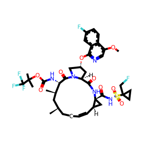 COc1cnc(O[C@@H]2C[C@H]3C(=O)N[C@]4(C(=O)NS(=O)(=O)C5(CF)CC5)C[C@H]4C=CCC[C@@H](C)C[C@@H](C)[C@H](NC(=O)OC(C)(C)C(F)(F)F)C(=O)N3C2)c2cc(F)ccc12